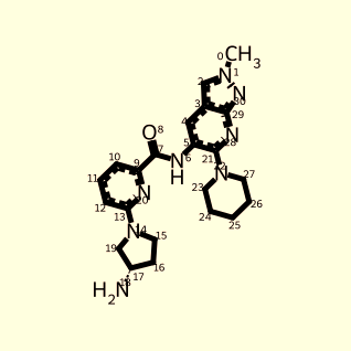 Cn1cc2cc(NC(=O)c3cccc(N4CC[C@H](N)C4)n3)c(N3CCCCC3)nc2n1